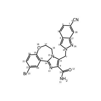 N#Cc1ccc2cn(Cc3c(C(N)=O)nc4n3CCOc3ccc(Br)cc3-4)nc2c1